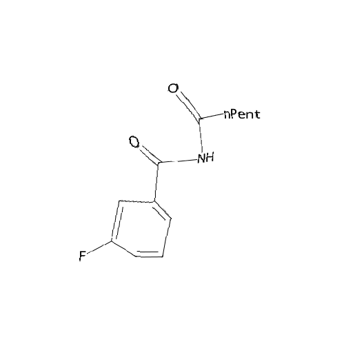 CCCCCC(=O)NC(=O)c1cccc(F)c1